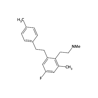 CNCCc1c(C)cc(F)cc1CCc1ccc(C)cc1